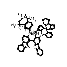 CC1(C)CCC(C)(C)c2cc(Nc3ccc4c(sc5ccccc54)c3-c3c4c(cc5c3sc3ccccc35)N3c5ccccc5C5(c6ccccc6-c6ccccc65)c5cccc(c53)B4)ccc21